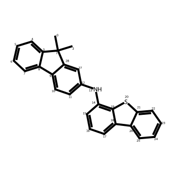 CC1(C)c2ccccc2-c2ccc(Nc3cccc4c3sc3ccccc34)cc21